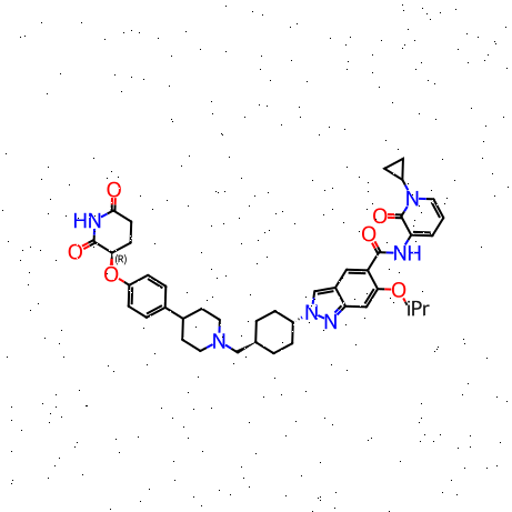 CC(C)Oc1cc2nn([C@H]3CC[C@H](CN4CCC(c5ccc(O[C@@H]6CCC(=O)NC6=O)cc5)CC4)CC3)cc2cc1C(=O)Nc1cccn(C2CC2)c1=O